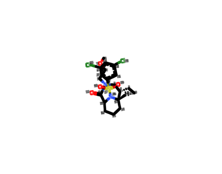 CC[C@H]1CN(CCOC)C(=O)C2CCC[C@@H]1N2S(=O)(=O)c1cc(Cl)cc(Cl)c1